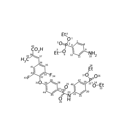 CCOP(=O)(OCC)c1ccc(N)cc1.CCOP(=O)(OCC)c1ccc(NS(=O)(=O)c2ccc(Oc3c(F)cc(/C=C(\C)C(=O)O)cc3F)cc2)cc1